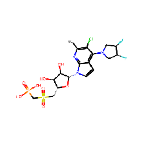 N#Cc1nc2c(ccn2[C@@H]2O[C@H](CS(=O)(=O)CP(=O)(O)O)[C@@H](O)[C@H]2O)c(N2C[C@@H](F)[C@@H](F)C2)c1Cl